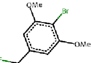 COc1cc(CF)cc(OC)c1Br